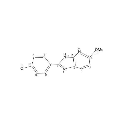 COc1ccc2nc(-c3ccc(Cl)cc3)[nH]c2n1